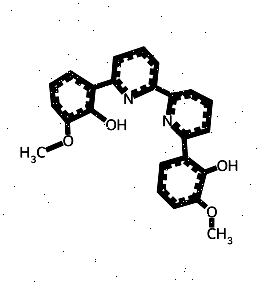 COc1cccc(-c2cccc(-c3cccc(-c4cccc(OC)c4O)n3)n2)c1O